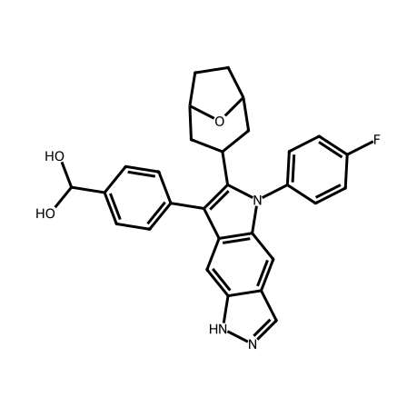 OC(O)c1ccc(-c2c(C3CC4CCC(C3)O4)n(-c3ccc(F)cc3)c3cc4cn[nH]c4cc23)cc1